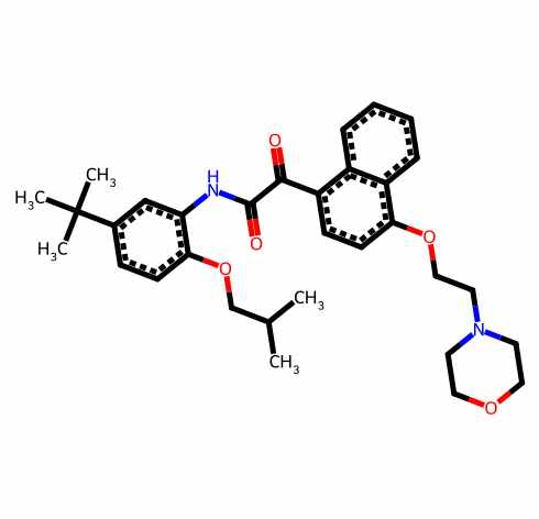 CC(C)COc1ccc(C(C)(C)C)cc1NC(=O)C(=O)c1ccc(OCCN2CCOCC2)c2ccccc12